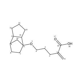 C=C(CCCOC12CCC(C1)C1CCCC12)C(=O)O